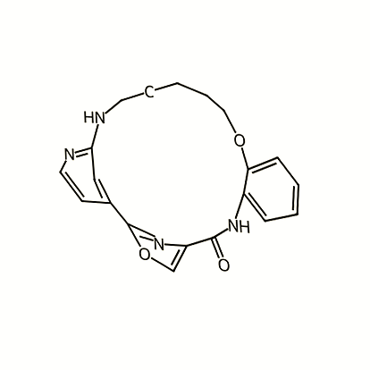 O=C1Nc2ccccc2OCCCCCNc2cc(ccn2)-c2nc1co2